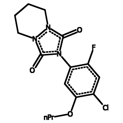 CCCOc1cc(-n2c(=O)n3n(c2=O)CCCC3)c(F)cc1Cl